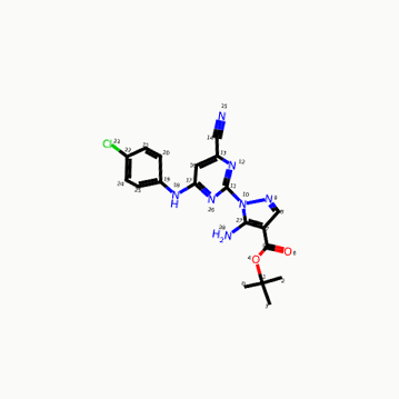 CC(C)(C)OC(=O)c1cnn(-c2nc(C#N)cc(Nc3ccc(Cl)cc3)n2)c1N